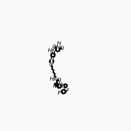 O=C1CCC(Nc2ccc(N3CCN(CCCCCCCCNC(=O)c4cnn5ccc(N6CCC[C@@H]6c6cc(F)ccc6F)nc45)CC3)cc2)C(=O)N1